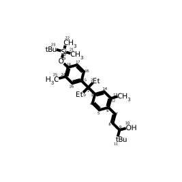 CCC(CC)(c1ccc(C=CC(O)C(C)(C)C)c(C)c1)c1ccc(O[Si](C)(C)C(C)(C)C)c(C)c1